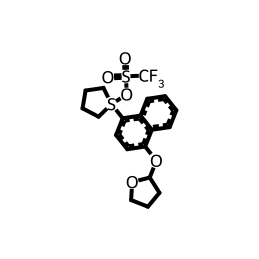 O=S(=O)(OS1(c2ccc(OC3CCCO3)c3ccccc23)CCCC1)C(F)(F)F